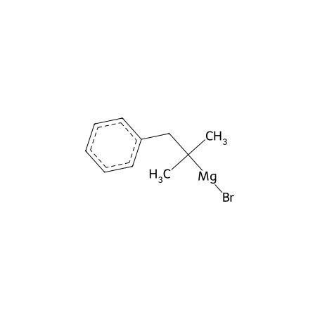 C[C](C)(Cc1ccccc1)[Mg][Br]